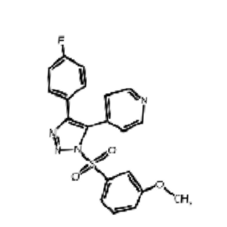 COc1cccc(S(=O)(=O)n2nnc(-c3ccc(F)cc3)c2-c2ccncc2)c1